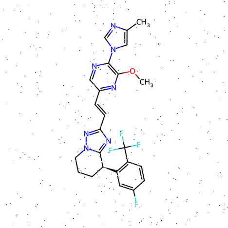 COc1nc(/C=C/c2nc3n(n2)CCC[C@@H]3c2cc(F)ccc2C(F)(F)F)cnc1-n1cnc(C)c1